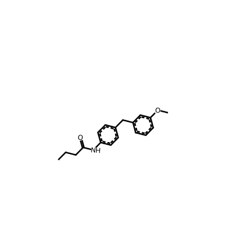 CCCC(=O)Nc1ccc(Cc2cccc(OC)c2)cc1